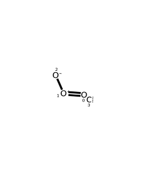 O=[O+][O-].[C]